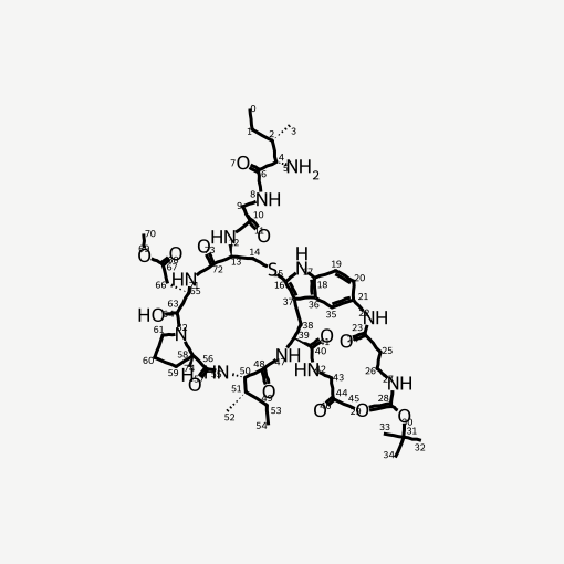 CC[C@H](C)[C@H](N)C(=O)NCC(=O)N[C@H]1CSc2[nH]c3ccc(NC(=O)CCNC(=O)OC(C)(C)C)cc3c2C[C@@H](C(=O)NCC(C)=O)NC(=O)[C@H]([C@@H](C)CC)NC(=O)[C@@H]2CCCN2C(O)[C@H](CC(=O)OC)NC1=O